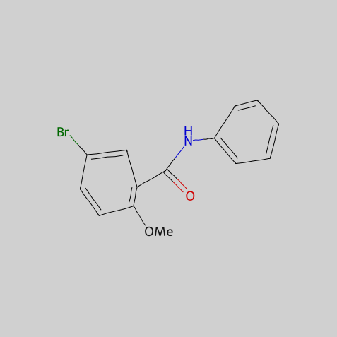 COc1ccc(Br)cc1C(=O)Nc1ccccc1